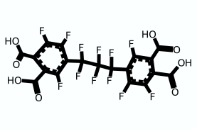 O=C(O)c1c(F)c(F)c(C(F)(F)C(F)(F)C(F)(F)c2c(F)c(F)c(C(=O)O)c(C(=O)O)c2F)c(F)c1C(=O)O